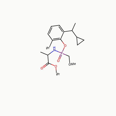 COCP(=O)(NC(C)C(=O)OC(C)C)Oc1c(C(C)C)cccc1C(C)C1CC1